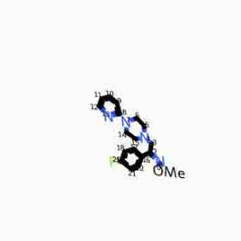 CO/N=C(/CN1CCN(c2ccccn2)CC1)c1ccc(F)cc1